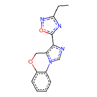 CCc1noc(-c2ncn3c2COc2ccccc2-3)n1